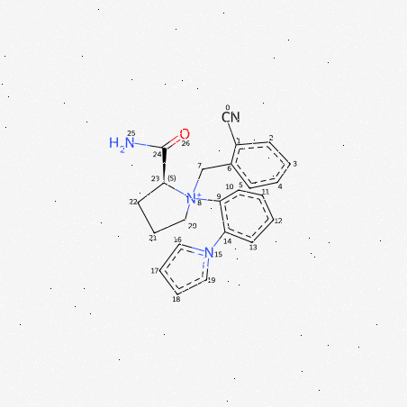 N#Cc1ccccc1C[N+]1(c2ccccc2-n2cccc2)CCC[C@H]1C(N)=O